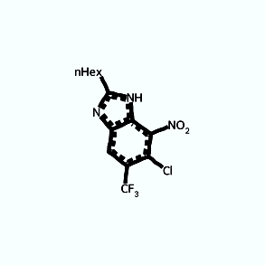 CCCCCCc1nc2cc(C(F)(F)F)c(Cl)c([N+](=O)[O-])c2[nH]1